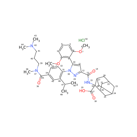 COc1cccc(OC)c1-c1cc(C(=O)NC2(C(=O)O)C3CC4CC(C3)CC2C4)nn1-c1ccc(C(=O)N(C)CCCN(C)C)cc1C(C)C.Cl